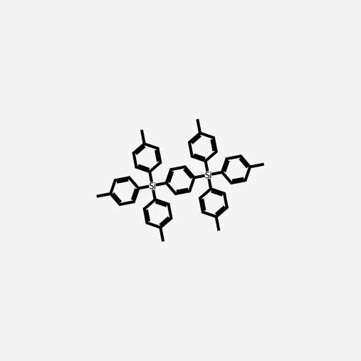 Cc1ccc([Si](c2ccc(C)cc2)(c2ccc(C)cc2)c2ccc([Si](c3ccc(C)cc3)(c3ccc(C)cc3)c3ccc(C)cc3)cc2)cc1